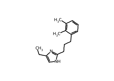 CCc1c[nH]c(CCCc2cccc(C)c2C)n1